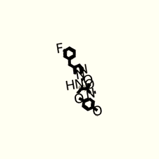 COc1ccc2c(c1)N(C)C(=O)[C@@H](NC(=O)n1cc(Cc3cccc(F)c3)cn1)CO2